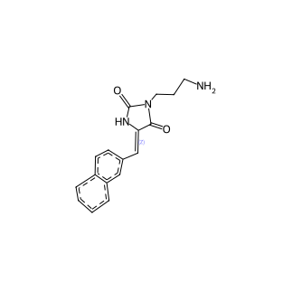 NCCCN1C(=O)N/C(=C\c2ccc3ccccc3c2)C1=O